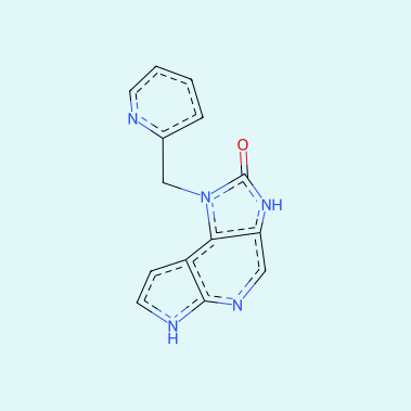 O=c1[nH]c2cnc3[nH]ccc3c2n1Cc1ccccn1